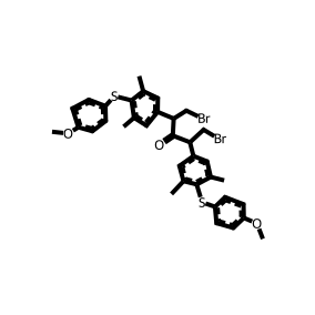 COc1ccc(Sc2c(C)cc(C(CBr)C(=O)C(CBr)c3cc(C)c(Sc4ccc(OC)cc4)c(C)c3)cc2C)cc1